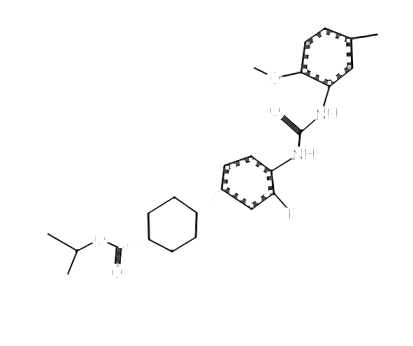 COc1ccc(C)cc1NC(=O)Nc1ccc([C@H]2CC[C@@H](C(=O)OC(C)C)CC2)cc1F